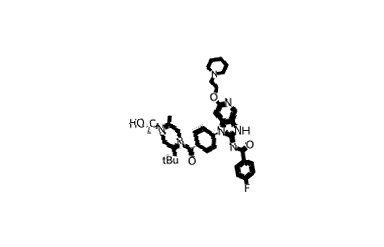 CC1CN(C(=O)[C@H]2CC[C@@H](n3/c(=N/C(=O)c4ccc(F)cc4)[nH]c4cnc(OCCN5CCCCC5)cc43)CC2)C(C(C)(C)C)CN1C(=O)O